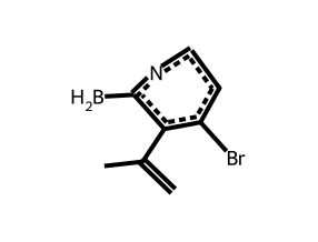 Bc1nccc(Br)c1C(=C)C